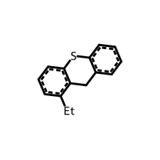 CCc1cccc2c1Cc1ccccc1S2